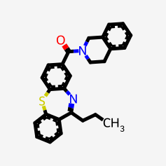 CCCC1=Nc2cc(C(=O)N3CCc4ccccc4C3)ccc2Sc2ccccc21